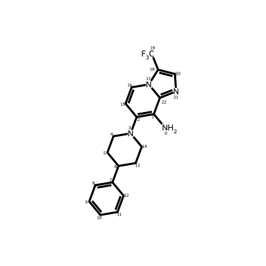 Nc1c(N2CCC(c3ccccc3)CC2)ccn2c(C(F)(F)F)cnc12